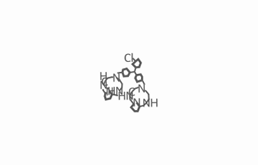 Clc1cccc(C(c2ccc(CN3CCCNCc4cccc(n4)CNCCC3)cc2)c2ccc(CN3CCCNCc4cccc(n4)CNCCC3)cc2)c1